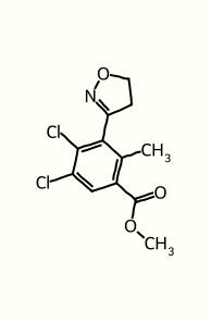 COC(=O)c1cc(Cl)c(Cl)c(C2=NOCC2)c1C